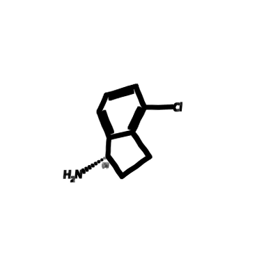 N[C@H]1CCc2c(Cl)cccc21